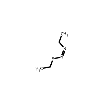 CC/N=N\SCC